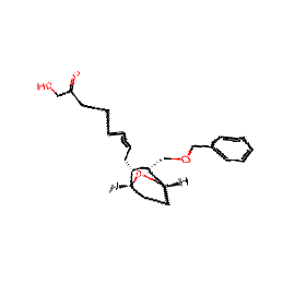 O=C(CO)CCC/C=C\C[C@@H]1[C@H](COCc2ccccc2)[C@@H]2CC[C@H]1O2